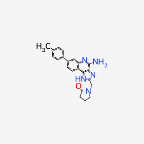 Cc1ccc(-c2ccc3c(c2)nc(N)c2nc(CN4CCCC4=O)[nH]c23)cc1